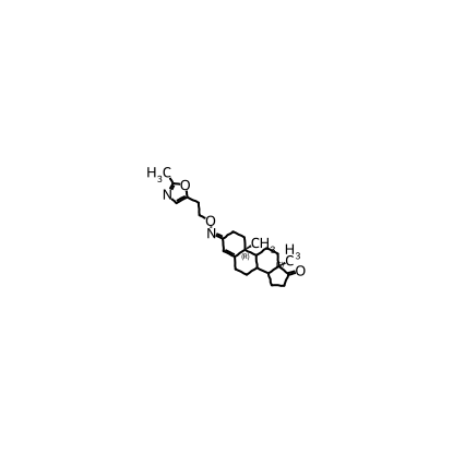 Cc1ncc(CCON=C2C=C3CCC4C(CC[C@]5(C)C(=O)CCC45)[C@@]3(C)CC2)o1